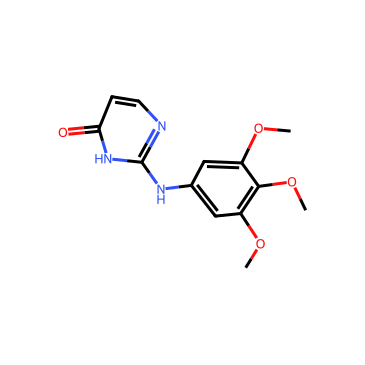 COc1cc(Nc2nccc(=O)[nH]2)cc(OC)c1OC